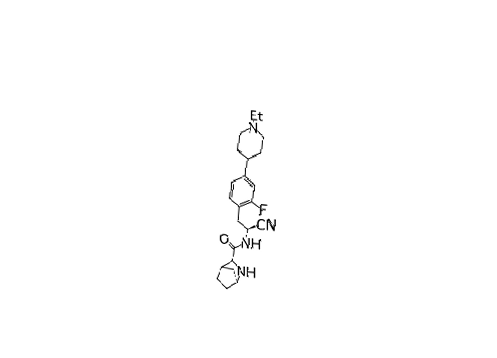 CCN1CCC(c2ccc(C[C@@H](C#N)NC(=O)C3NC4CCC3C4)c(F)c2)CC1